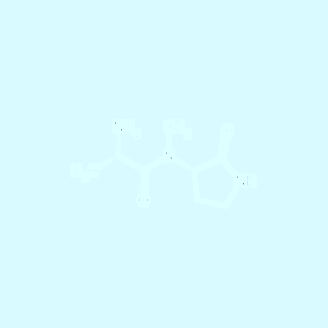 C[C@H](N)C(=O)N(C)[C@H]1CCNC1=O